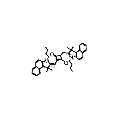 CCCCN1/C(=C\C2=C([O-])C(CC3=[N+](CCCC)c4ccc5ccccc5c4C3(C)C)C2=O)C(C)(C)c2c1ccc1ccccc21